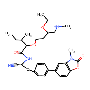 CCOC(CCOC(C(=O)N[C@H](C#N)Cc1ccc(-c2ccc3oc(=O)n(C)c3c2)cc1)C(C)CC)CNC